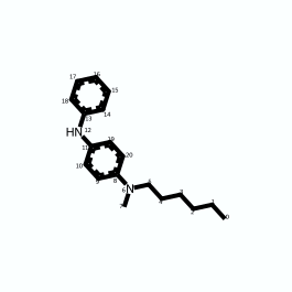 CCCCCCN(C)c1ccc(Nc2ccccc2)cc1